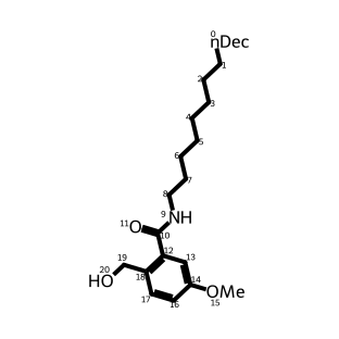 CCCCCCCCCCCCCCCCCCNC(=O)c1cc(OC)ccc1CO